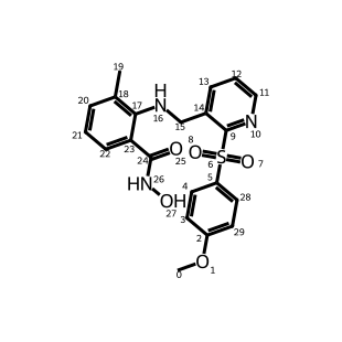 COc1ccc(S(=O)(=O)c2ncccc2CNc2c(C)cccc2C(=O)NO)cc1